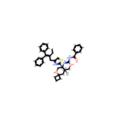 CCC(Cc1csc([C@]23COC4(CCC4)C[C@H]2COC(NC(=O)c2ccccc2)=N3)n1)=C(c1ccccc1)c1ccccc1